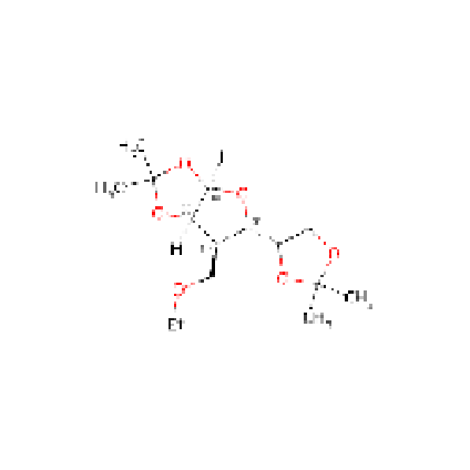 CCOC[C@H]1[C@H]2OC(C)(C)O[C@H]2O[C@@H]1C1COC(C)(C)O1